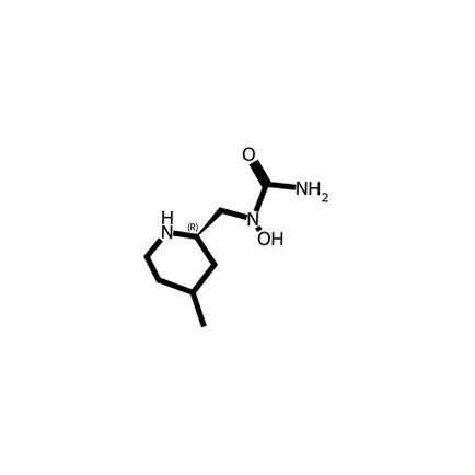 CC1CCN[C@@H](CN(O)C(N)=O)C1